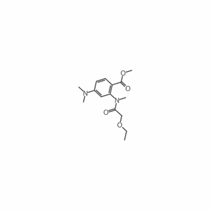 CCOCC(=O)N(C)c1cc(N(C)C)ccc1C(=O)OC